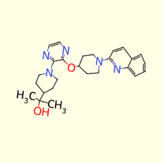 CC(C)(O)C1CCN(c2nccnc2OC2CCN(c3ccc4ccccc4n3)CC2)CC1